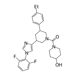 CCc1ccc(C2CC(c3cn(-c4c(F)cccc4F)cn3)CN(C(=O)N3CCC(O)CC3)C2)cc1